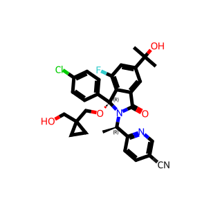 C[C@H](c1ccc(C#N)cn1)N1C(=O)c2cc(C(C)(C)O)cc(F)c2[C@]1(OCC1(CO)CC1)c1ccc(Cl)cc1